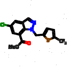 COC(=O)c1cc(Cl)cc2cnn(Cc3ccc(C(F)(F)F)s3)c12